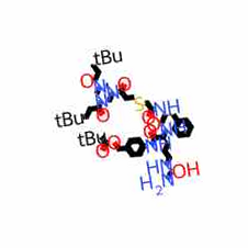 CC(C)(C)CCC(=O)N1CN(C(=O)CCSCC(=O)N[C@H](Cc2ccccc2)C(=O)N[C@@H](CCCNC(N)O)C(=O)Nc2ccc(COC(=O)C(C)(C)C)cc2)CN(C(=O)CCC(C)(C)C)C1